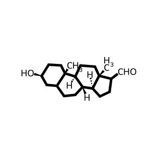 C[C@]12CC[C@H](O)CC1CC[C@@H]1[C@@H]2CC[C@]2(C)C(C=O)CC[C@@H]12